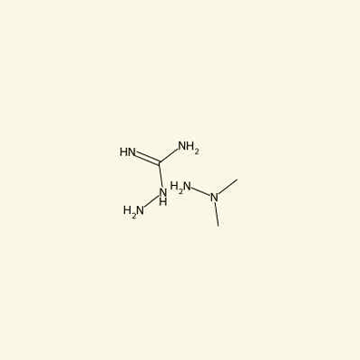 CN(C)N.N=C(N)NN